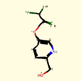 OCc1ccc(OC(F)C(F)F)cn1